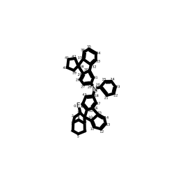 CCC1CC2CCCC(C2)C12c1ccccc1-c1cc(N(c3ccccc3)c3ccc4c(c3)-c3ccccc3C43CCCC3)ccc12